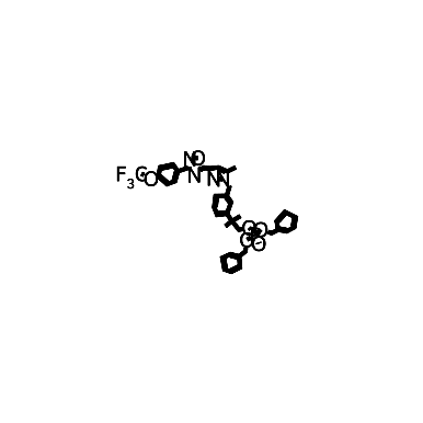 Cc1cc(-c2nc(-c3ccc(OC(F)(F)F)cc3)no2)nn1Cc1cccc(C(C)(C)COP(=O)(OCc2ccccc2)OCc2ccccc2)c1